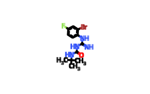 CC(C)(C)NC(=O)NC(=N)Nc1ccc(F)cc1Br